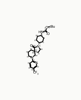 CC(C)(C)OC(=O)N[C@H]1CC[C@H](N2CC[C@@]3(CCCN(c4ccc(C(F)(F)F)cn4)C3)C2=O)CC1